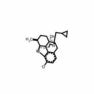 C=C1CC[C@@]2(O)C3Cc4ccc([O])c5c4[C@@]2(CCN3CC2CC2)[C@H]1O5